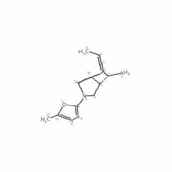 C/C=C1/C(N)C2CN(c3nnc(C)o3)CC12